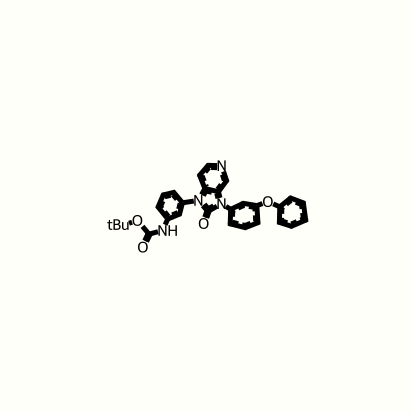 CC(C)(C)OC(=O)Nc1cccc(-n2c(=O)n(-c3cccc(Oc4ccccc4)c3)c3cnccc32)c1